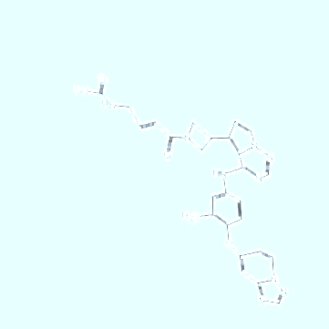 Cc1cc(Nc2ncnn3ccc(C4CN(C(=O)C=CCNC(=O)O)C4)c23)ccc1Oc1ccn2ncnc2c1